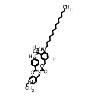 CCCCCCCCCCCCCCOc1ccc(COC(=O)N(Cc2cc[n+](CC)cc2)C(=O)c2ccccc2)cc1C(C)(C)C.[I-]